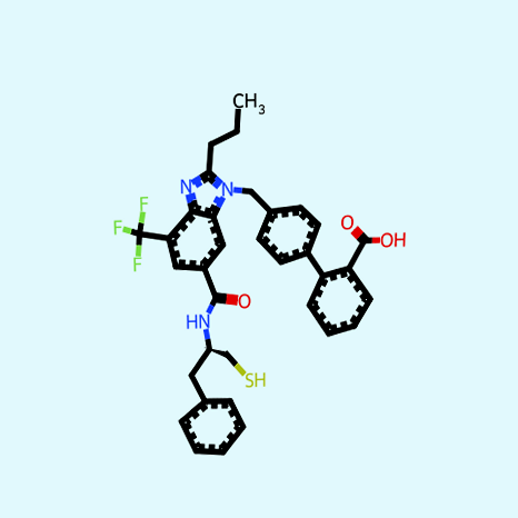 CCCc1nc2c(C(F)(F)F)cc(C(=O)N[C@@H](CS)Cc3ccccc3)cc2n1Cc1ccc(-c2ccccc2C(=O)O)cc1